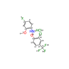 COc1cc(F)ccc1NOc1ccc(C(F)(F)F)cc1Cl.Cl